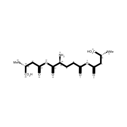 CN[C@H](CC(=O)OC(=O)CC[C@H](N)C(=O)OC(=O)C[C@@H](NC)C(=O)O)C(=O)O